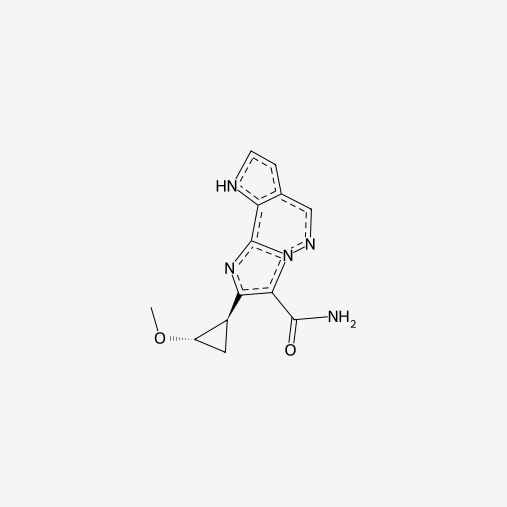 CO[C@H]1C[C@@H]1c1nc2c3[nH]ccc3cnn2c1C(N)=O